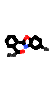 COC(=O)c1ccccc1-c1nc2cc(C(C)(C)C)ccc2o1